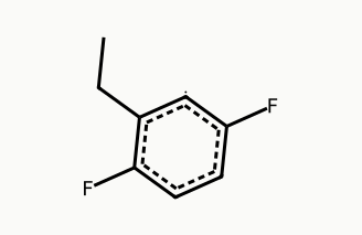 CCc1[c]c(F)ccc1F